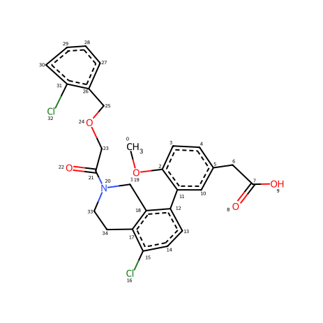 COc1ccc(CC(=O)O)cc1-c1ccc(Cl)c2c1CN(C(=O)COCc1ccccc1Cl)CC2